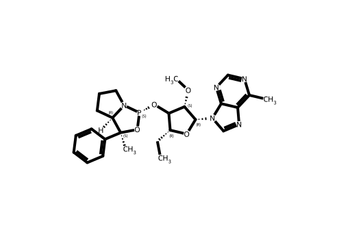 CC[C@H]1O[C@@H](n2cnc3c(C)ncnc32)[C@@H](OC)C1O[P@]1O[C@@](C)(c2ccccc2)[C@H]2CCCN21